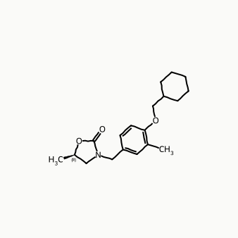 Cc1cc(CN2C[C@@H](C)OC2=O)ccc1OCC1CCCCC1